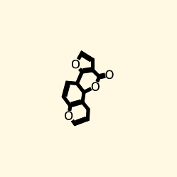 O=C1OC2C3=C(C=CC2c2occc21)OC=CC3